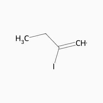 [CH]=C(I)CC